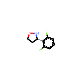 Fc1cccc(F)c1[C@@H]1CCON1